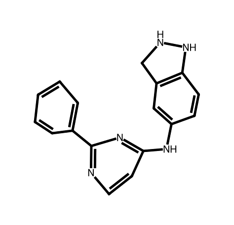 c1ccc(-c2nccc(Nc3ccc4c(c3)CNN4)n2)cc1